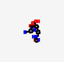 N#Cc1ccc(-n2c3cc(CNc4nccs4)ccc3c3ccc(C(=O)O)cc32)c([N+](=O)[O-])c1